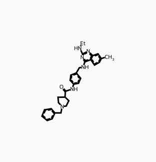 CCNc1nc(NCc2ccc(NC(=O)C3CCN(Cc4ccccc4)CC3)cc2)c2ccc(C)cc2n1